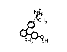 COc1ccc(-c2cccc([SH2+])c2-c2ccc(OC)cc2)cc1.F[B-](F)(F)F